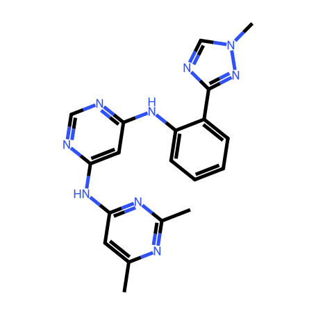 Cc1cc(Nc2cc(Nc3ccccc3-c3ncn(C)n3)ncn2)nc(C)n1